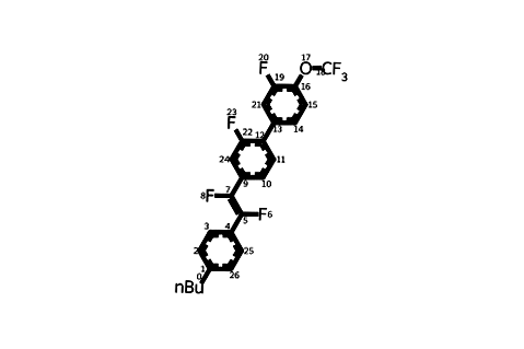 CCCCc1ccc(/C(F)=C(\F)c2ccc(-c3ccc(OC(F)(F)F)c(F)c3)c(F)c2)cc1